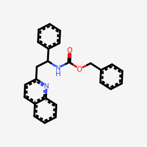 O=C(NC(Cc1ccc2ccccc2n1)c1ccccc1)OCc1ccccc1